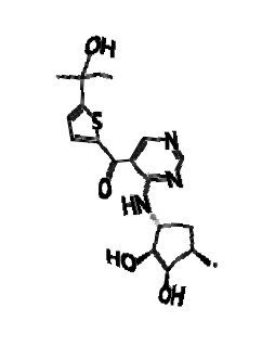 [CH2][C@@H]1C[C@@H](Nc2ncncc2C(=O)c2ccc(C(C)(C)O)s2)[C@H](O)[C@@H]1O